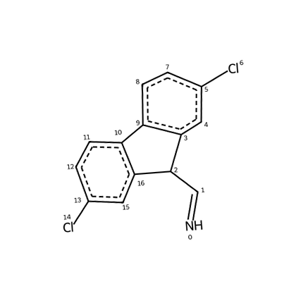 N=CC1c2cc(Cl)ccc2-c2ccc(Cl)cc21